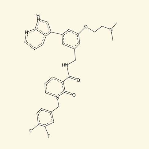 CN(C)CCOc1cc(CNC(=O)c2cccn(Cc3ccc(F)c(F)c3)c2=O)cc(-c2c[nH]c3ncccc23)c1